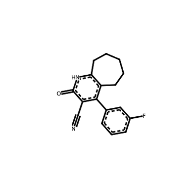 N#Cc1c(-c2cccc(F)c2)c2c([nH]c1=O)CCCCC2